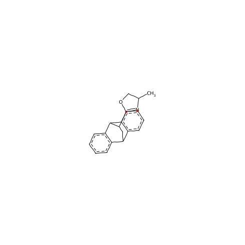 CC1COC(C2CC3c4ccccc4C2c2ccccc23)=N1